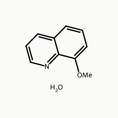 COc1cccc2cccnc12.O